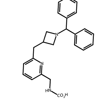 O=C(O)NCc1cccc(CC2CN(C(c3ccccc3)c3ccccc3)C2)n1